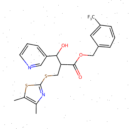 Cc1nc(SCC(C(=O)OCc2cccc(C(F)(F)F)c2)C(O)c2cccnc2)sc1C